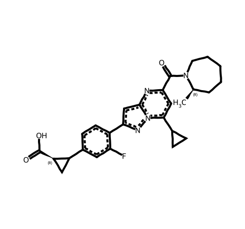 C[C@@H]1CCCCCN1C(=O)c1cc(C2CC2)n2nc(-c3ccc(C4C[C@H]4C(=O)O)cc3F)cc2n1